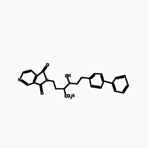 O=C(O)C(CCN1C(=O)c2ccncc2C1=O)C(O)CCc1ccc(-c2ccccc2)cc1